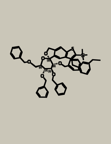 CCc1cccc(Cc2c([Si](C)(C)C)sc3cc4c(cc23)[C@]2(OC4)O[C@H](COCc3ccccc3)[C@@H](OCc3ccccc3)[C@H](OCc3ccccc3)[C@H]2OCc2ccccc2)c1